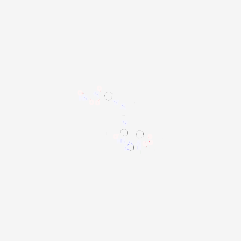 COc1cc(N2CCC(CN3C(C)CN(c4ccc5c(c4)C(=O)N(C4CCC(=O)NC4=O)C5=O)CC3C)CC2)ccc1Nc1ncc(Cl)c(Nc2ccccc2P(=O)(OC)OC)n1